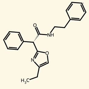 CCc1coc([C@@H](C(=O)NCCc2cc[c]cc2)c2ccccc2)n1